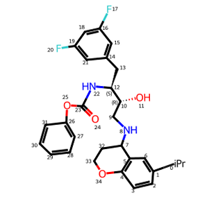 CC(C)c1ccc2c(c1)C(NC[C@@H](O)[C@H](Cc1cc(F)cc(F)c1)NC(=O)Oc1ccccc1)CCO2